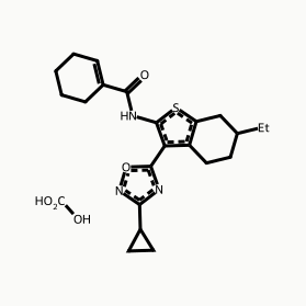 CCC1CCc2c(sc(NC(=O)C3=CCCCC3)c2-c2nc(C3CC3)no2)C1.O=C(O)O